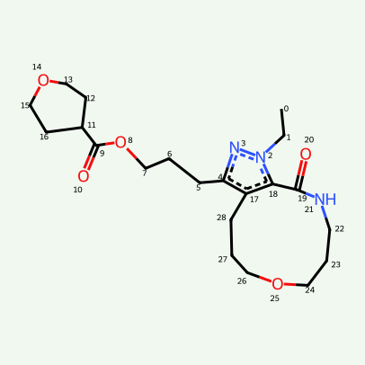 CCn1nc(CCCOC(=O)C2CCOCC2)c2c1C(=O)NCCCOCCC2